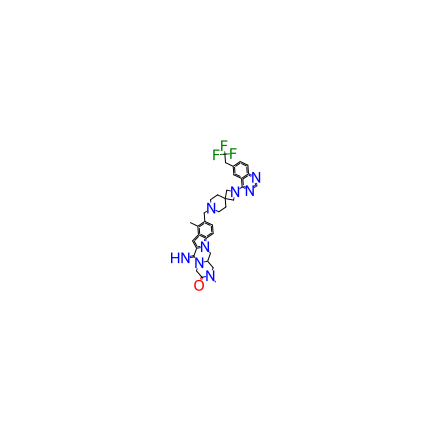 Cc1c(CN2CCC3(CC2)CN(c2ncnc4ccc(CC(F)(F)F)cc24)C3)ccc2c1cc1n2CC2CN(C)C(=O)CN2C1=N